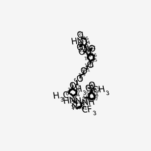 Cc1cc(OCCOCCOCCOc2ccc3c(c2)C(=O)N(C2CCC(=O)NC2=O)C3=O)ccc1Nc1ncc(C(F)(F)F)c(NCc2cccc(P(C)(C)=O)c2)n1